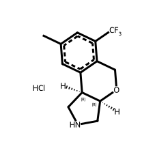 Cc1cc2c(c(C(F)(F)F)c1)CO[C@H]1CNC[C@@H]21.Cl